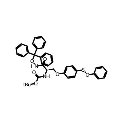 CC(C)(C)OC(=O)N[C@H](COc1ccc(SOc2ccccc2)cc1)C(=O)NOC(c1ccccc1)(c1ccccc1)c1ccccc1